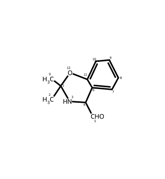 CC1(C)NC(C=O)c2ccccc2O1